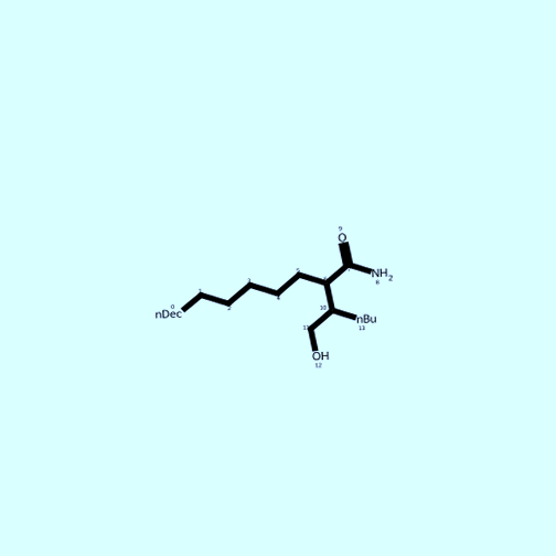 CCCCCCCCCCCCCCCC(C(N)=O)C(CO)CCCC